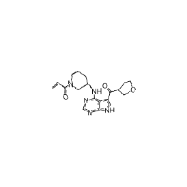 C=CC(=O)N1CCC[C@@H](Nc2ncnc3[nH]cc(C(=O)[C@H]4CCOC4)c23)C1